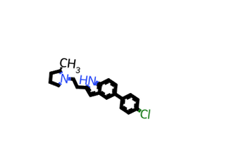 C[C@@H]1CCCN1CCc1cc2cc(-c3ccc(Cl)cc3)ccc2[nH]1